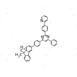 CC1(C)c2ccccc2-c2cc(-c3ccc(-c4cc(-c5ccccc5)nc(-c5ccc(-c6ccccn6)cc5)n4)cc3)ccc21